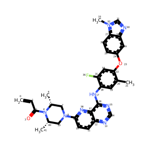 C=CC(=O)N1[C@H](C)CN(c2ccc3ncnc(Nc4cc(C)c(Oc5ccc6c(c5)ncn6C)cc4F)c3n2)C[C@@H]1C